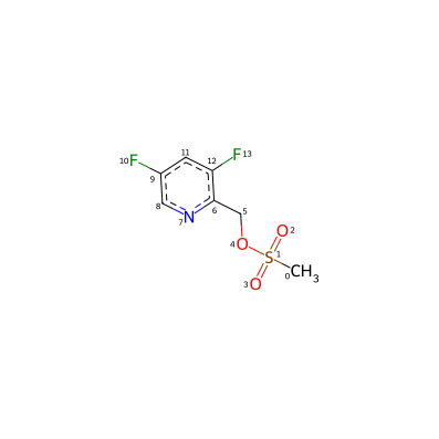 CS(=O)(=O)OCc1ncc(F)cc1F